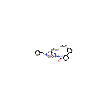 CCCCC[C@H](CN(C=O)CCc1ccccc1)C(=O)NCNC(=O)c1cccc(-c2cccc(OC)c2)c1